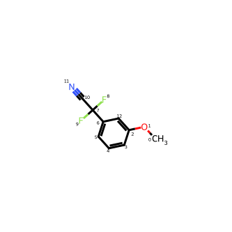 COc1cccc(C(F)(F)C#N)c1